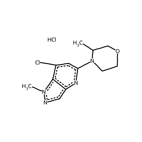 CC1COCCN1c1cc(Cl)c2c(cnn2C)n1.Cl